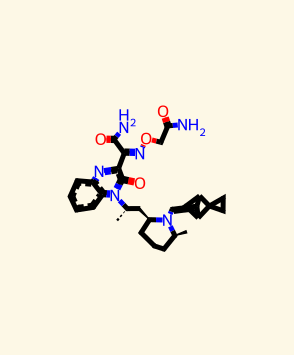 C[C@H]1CCC[C@@H](C[C@H](C)n2c(=O)c(/C(=N/OCC(N)=O)C(N)=O)nc3ccccc32)N1C=C1C2CC1C21CC1